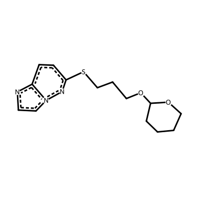 c1cn2nc(SCCCOC3CCCCO3)ccc2n1